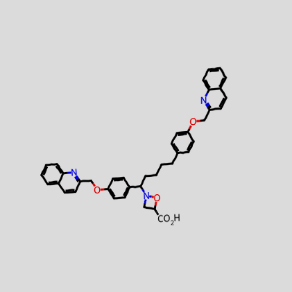 O=C(O)C1CN(C(CCCCc2ccc(OCc3ccc4ccccc4n3)cc2)c2ccc(OCc3ccc4ccccc4n3)cc2)O1